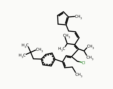 CC\C=C(/C=C(CCl)/C(=C(/C=C\CC1=C(C)C=CC1)C(C)C)C(C)C)c1ccc(CC(C)(C)C)cc1